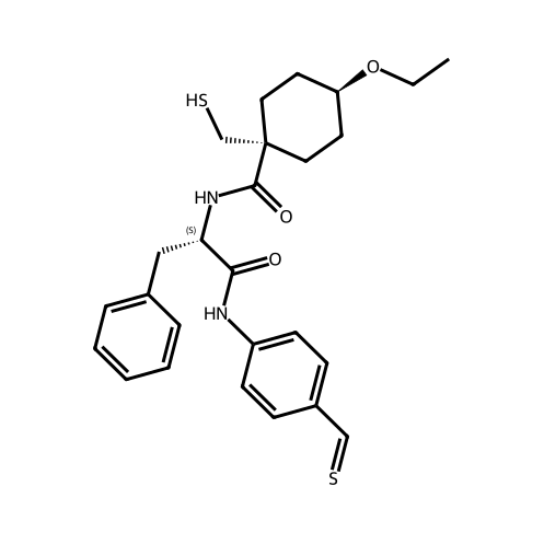 CCO[C@H]1CC[C@@](CS)(C(=O)N[C@@H](Cc2ccccc2)C(=O)Nc2ccc(C=S)cc2)CC1